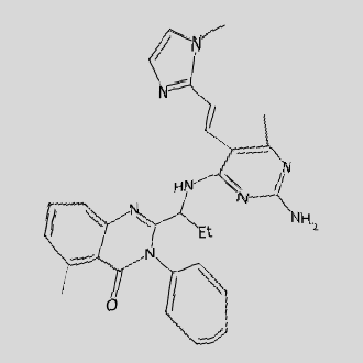 CCC(Nc1nc(N)nc(C)c1/C=C/c1nccn1C)c1nc2cccc(C)c2c(=O)n1-c1ccccc1